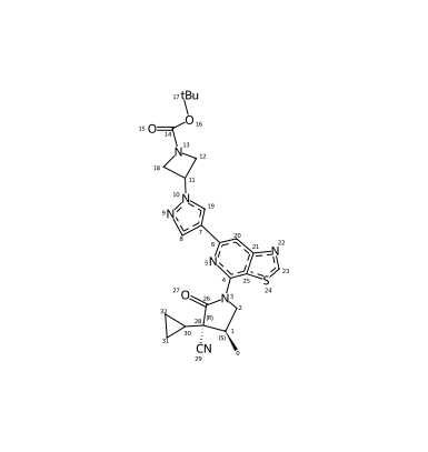 C[C@@H]1CN(c2nc(-c3cnn(C4CN(C(=O)OC(C)(C)C)C4)c3)cc3ncsc23)C(=O)[C@]1(C#N)C1CC1